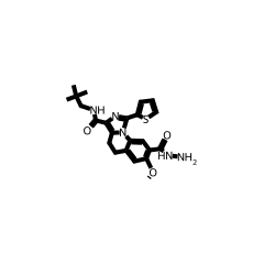 COc1cc2c(cc1C(=O)NN)-n1c(-c3cccs3)nc(C(=O)NCC(C)(C)C)c1CC2